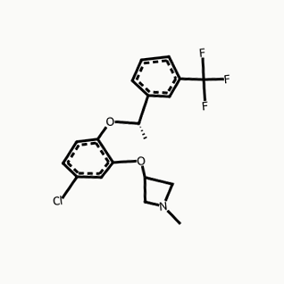 C[C@H](Oc1ccc(Cl)cc1OC1CN(C)C1)c1cccc(C(F)(F)F)c1